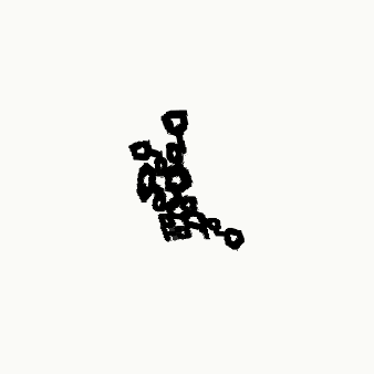 O=c1c(OCc2ccccc2)c(-c2ccc(OCc3ccccc3)c(OCc3ccccc3)c2)oc2cc(OCc3ccccc3)c(I)c(O)c12